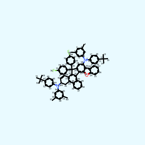 Cc1cc(C)cc(N(c2ccc(C(C)(C)C)cc2)c2cc3c(c4oc5ccccc5c24)-c2c(c4c(c5ccccc25)CC(N(c2ccc(C(C)(C)C)cc2)c2cc(C)cc(C)c2)C=C4)C3(c2ccc(F)cc2)c2ccc(F)cc2)c1